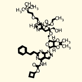 CCOP(=O)(OCC)[C@@](CO)(Cc1nnn(COCC[Si](C)(C)C)n1)OC[C@H]1O[C@@H](n2ncc3c(NC(=O)OC4CCC4)nc(/C=C/c4ccccc4)nc32)[C@@H]2OC(C)(C)O[C@@H]21